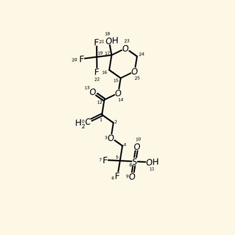 C=C(COCC(F)(F)S(=O)(=O)O)C(=O)OC1CC(O)(C(F)(F)F)OCO1